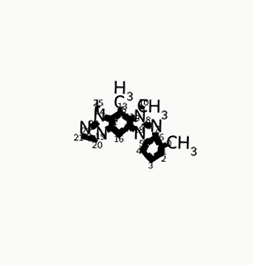 Cc1cccc2c1nc1n(C)c3c(C)c4c(cc3n21)n1ccnc1n4I